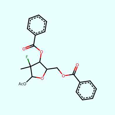 CC(=O)OC1OC(COC(=O)c2ccccc2)C(OC(=O)c2ccccc2)C1(C)F